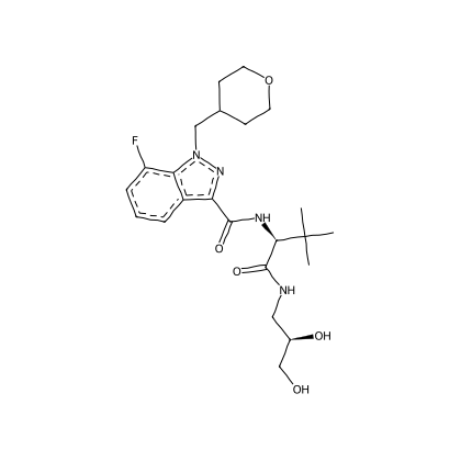 CC(C)(C)[C@H](NC(=O)c1nn(CC2CCOCC2)c2c(F)cccc12)C(=O)NC[C@@H](O)CO